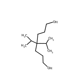 CC(C)C(CCCO)(CCCO)C(C)C